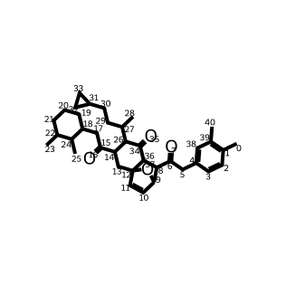 Cc1ccc(CC(=O)C2C3C=CC4(CC(C(=O)CC5CCCC(C)C5C)C(C(C)CCC5CC5)C(=O)C24)O3)cc1C